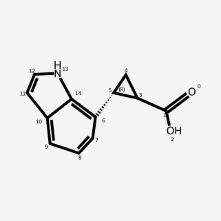 O=C(O)C1C[C@H]1c1cccc2cc[nH]c12